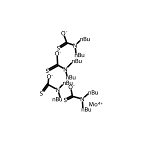 CCCCN(CCCC)C([O-])=S.CCCCN(CCCC)C([O-])=S.CCCCN(CCCC)C([O-])=S.CCCCN(CCCC)C([O-])=S.[Mo+4]